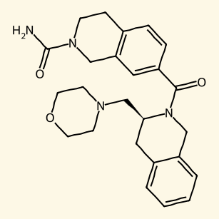 NC(=O)N1CCc2ccc(C(=O)N3Cc4ccccc4C[C@H]3CN3CCOCC3)cc2C1